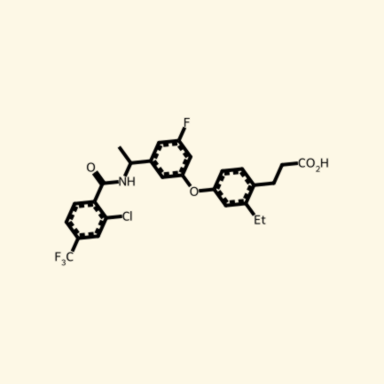 CCc1cc(Oc2cc(F)cc(C(C)NC(=O)c3ccc(C(F)(F)F)cc3Cl)c2)ccc1CCC(=O)O